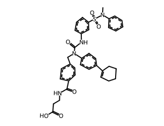 CN(c1ccccc1)S(=O)(=O)c1cccc(NC(=O)N(Cc2ccc(C(=O)NCCC(=O)O)cc2)c2ccc(C3=CCCCC3)cc2)c1